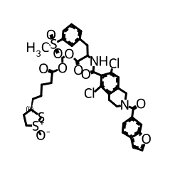 CS(=O)(=O)c1cccc(CC(NC(=O)c2c(Cl)cc3c(c2Cl)CCN(C(=O)c2ccc4ccoc4c2)C3)C(=O)OCOC(=O)CCCC[C@@H]2CC[S+]([O-])S2)c1